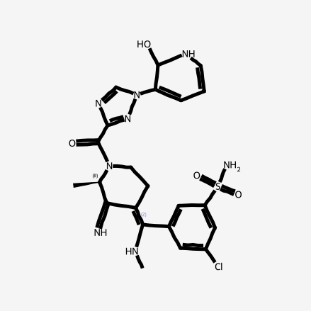 CN/C(=C1/CCN(C(=O)c2ncn(C3=CC=CNC3O)n2)[C@H](C)C1=N)c1cc(Cl)cc(S(N)(=O)=O)c1